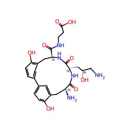 NC[C@H](O)C[C@@H]1NC(=O)[C@@H](N)Cc2cc(ccc2O)-c2ccc(O)c(c2)C[C@@H](C(=O)NCCC(=O)O)NC1=O